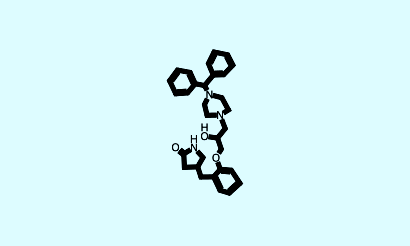 O=C1CC(Cc2ccccc2OCC(O)CN2CCN(C(c3ccccc3)c3ccccc3)CC2)CN1